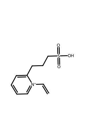 C=C[n+]1ccccc1CCCS(=O)(=O)O